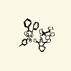 Cc1ccc(S(=O)(=O)OC(C(=O)c2ccccc2)c2ccccc2)cc1.O=C1C2CC=CCC2C(=O)N1SC(Cl)(Cl)C(Cl)Cl